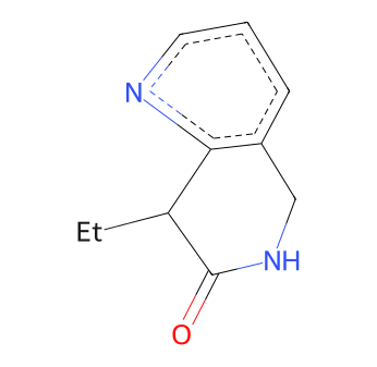 CCC1C(=O)NCc2cccnc21